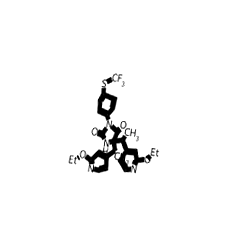 CCOc1cc(C(C)C2(C(C)c3ccnc(OCC)c3)NC(=O)N(c3ccc(SC(F)(F)F)cc3)C2=O)ccn1